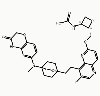 CN(c1ccc2c(n1)NC(=O)CO2)C12CCC(CCc3c(F)cnc4ccc(OC[C@H]5OC[C@@H]5NC(=O)O)nc34)(CC1)OC2